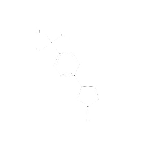 CC(C)(C)c1ccc(C2CCC(=O)O2)cc1